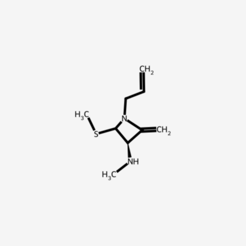 C=CCN1C(=C)[C@@H](NC)C1SC